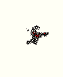 CC1(C)c2ccccc2-c2cc(N(C3=CC4=C(CC3c3ccccc3)c3cc(-c5ccccc5)ccc3C43c4ccccc4-c4ccc(N(c5ccccc5)c5ccc(C6C7CC8CC(C7)C6C8)cc5)cc43)C3C=CC=CC3)ccc21